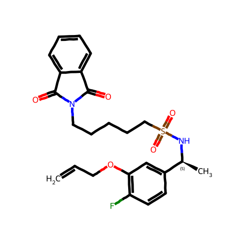 C=CCOc1cc([C@H](C)NS(=O)(=O)CCCCCN2C(=O)c3ccccc3C2=O)ccc1F